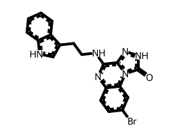 O=c1[nH]nc2c(NCCc3c[nH]c4ccccc34)nc3ccc(Br)cc3n12